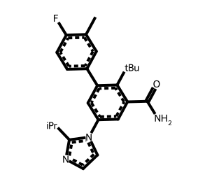 Cc1cc(-c2cc(-n3ccnc3C(C)C)cc(C(N)=O)c2C(C)(C)C)ccc1F